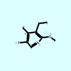 CCc1c(OC)ncc(F)c1C